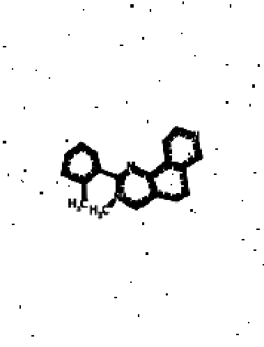 Cc1ccccc1-c1nc2c(ccc3cnccc32)c[n+]1C